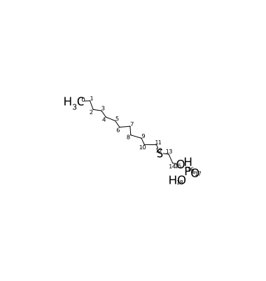 CCCCCCCCCCCCSCCO[PH](=O)O